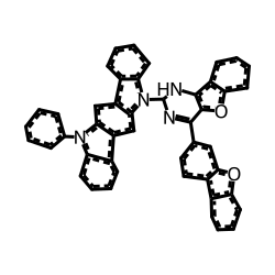 c1ccc(-n2c3ccccc3c3cc4c(cc32)c2ccccc2n4C2N=C(c3ccc4c(c3)oc3ccccc34)c3oc4ccccc4c3N2)cc1